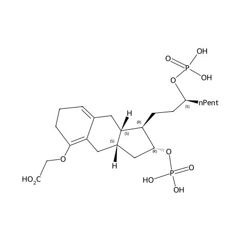 CCCCC[C@@H](CC[C@@H]1[C@H]2CC3=CCCC(OCC(=O)O)=C3C[C@H]2C[C@H]1OP(=O)(O)O)OP(=O)(O)O